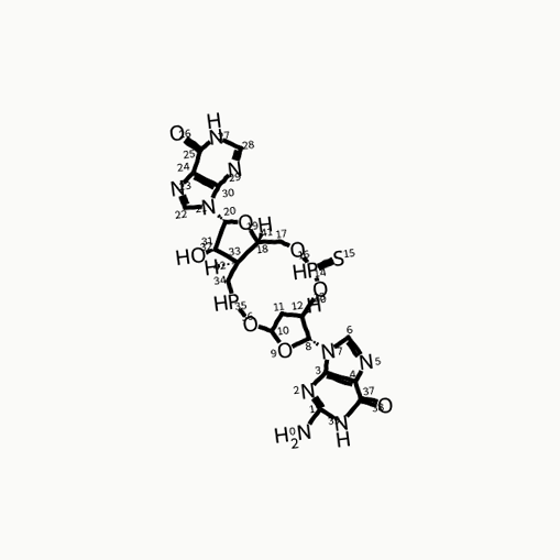 Nc1nc2c(ncn2[C@@H]2OC3C[C@H]2O[PH](=S)OC[C@H]2O[C@@H](n4cnc5c(=O)[nH]cnc54)[C@H](O)[C@@H]2CPO3)c(=O)[nH]1